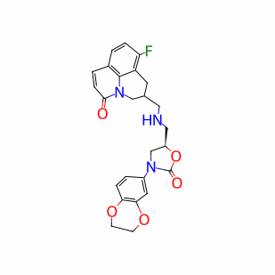 O=C1O[C@H](CNCC2Cc3c(F)ccc4ccc(=O)n(c34)C2)CN1c1ccc2c(c1)OCCO2